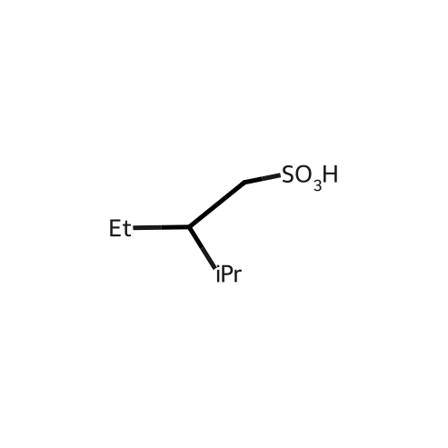 CCC(CS(=O)(=O)O)C(C)C